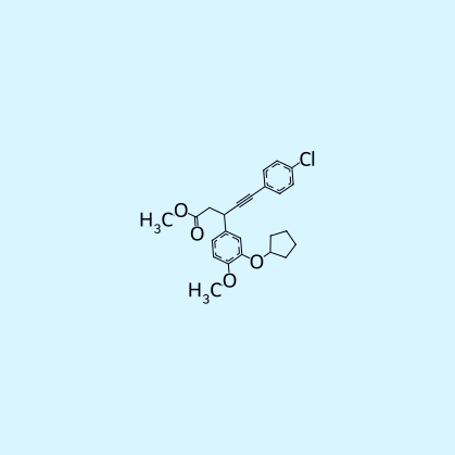 COC(=O)CC(C#Cc1ccc(Cl)cc1)c1ccc(OC)c(OC2CCCC2)c1